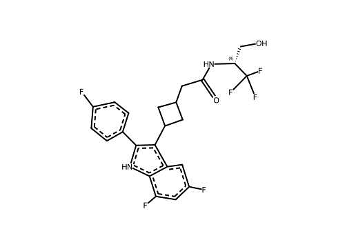 O=C(CC1CC(c2c(-c3ccc(F)cc3)[nH]c3c(F)cc(F)cc23)C1)N[C@H](CO)C(F)(F)F